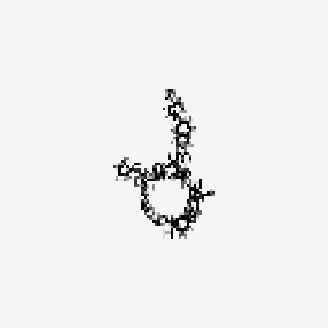 C=C[C@@H]1C[C@@]12NC(=O)[C@@H]1C[C@@H](OC(=O)N3Cc4ccc(N5CC[S+]([O-])CC5)cc4C3)CN1C(=O)[C@@H](NC(=O)OC1CCCC1)CCCCCCCNc1ccccc1S(=O)(=O)NC2=O